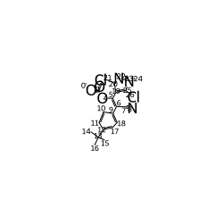 COC(=O)O/C(=C(/C#N)c1ccc(C(C)(C)C)cc1)c1c(Cl)nn(C)c1Cl